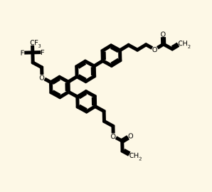 C=CC(=O)OCCCc1ccc(-c2ccc(-c3cc(OCCC(F)(F)C(F)(F)F)ccc3-c3ccc(CCCOC(=O)C=C)cc3)cc2)cc1